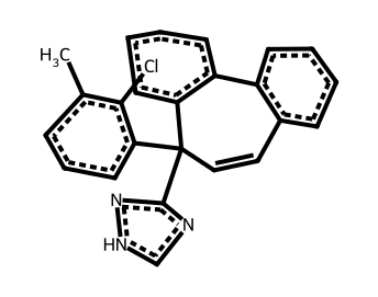 Cc1cccc(C2(c3nc[nH]n3)C=Cc3ccccc3-c3ccccc32)c1Cl